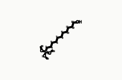 CO[Si](CCCCCCCCCCCO)(OC)OC